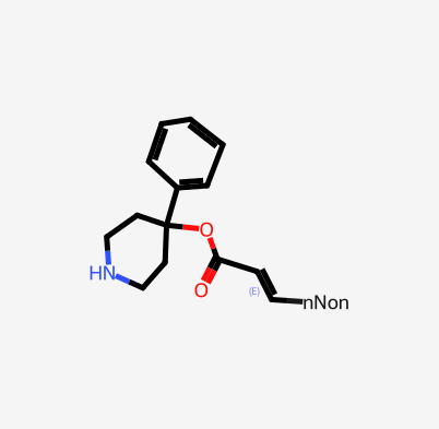 CCCCCCCCC/C=C/C(=O)OC1(c2ccccc2)CCNCC1